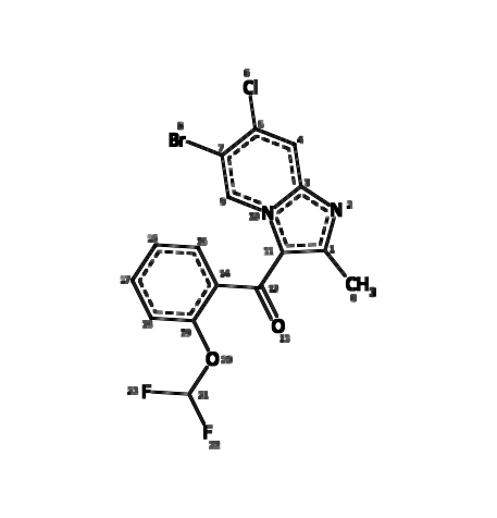 Cc1nc2cc(Cl)c(Br)cn2c1C(=O)c1ccccc1OC(F)F